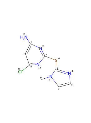 Cn1ccnc1Sc1nc(N)cc(Cl)n1